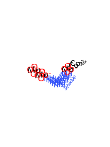 N.N.N.N.N.N.N.N.N.N.N.N.[Co+3].[Co+3].[O]=[Mo](=[O])([O-])[O-].[O]=[Mo](=[O])([O-])[O-].[O]=[Mo](=[O])([O-])[O-]